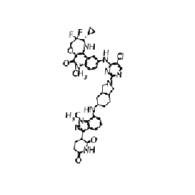 Cn1nc(C2CCC(=O)NC2=O)c2cccc(NC3CCC4CN(c5ncc(Cl)c(Nc6ccc7c(c6)c6c(c(=O)n7C)OCC(F)(F)[C@H](C7CC7)N6)n5)CC4C3)c21